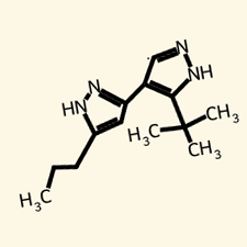 CCCc1cc(-c2[c]n[nH]c2C(C)(C)C)n[nH]1